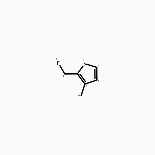 Cc1ccsc1CF